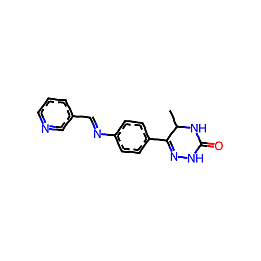 CC1NC(=O)NN=C1c1ccc(N=Cc2cccnc2)cc1